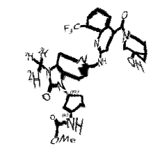 [2H]C([2H])([2H])n1c(=O)n([C@@H]2CC[C@@H](NC(=O)OC)C2)c2cc(Nc3cc(C(=O)N4CC5CC5(O)C4)c4cccc(C(F)(F)F)c4n3)ncc21